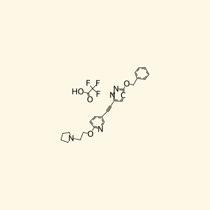 C(#Cc1ccc(OCc2ccccc2)nn1)c1ccc(OCCN2CCCC2)nc1.O=C(O)C(F)(F)F